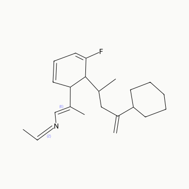 C=C(CC(C)C1C(F)=CC=CC1/C(C)=C/N=C\C)C1CCCCC1